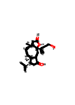 C=C(CO)[C@@]12C=C3C(=O)C[C@H](C(C)C)[C@@]3(C)CC[C@]1(C)CC(=O)O2